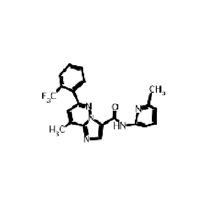 Cc1cccc(NC(=O)c2cnc3c(C)cc(-c4ccccc4C(F)(F)F)nn23)n1